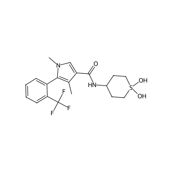 Cc1c(C(=O)NC2CCS(O)(O)CC2)cn(C)c1-c1ccccc1C(F)(F)F